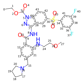 CCOC(=O)n1nc(NC(=O)c2ccc(CN3CCCC3)cc2NCCOC)c2cc(S(=O)(=O)c3cc(F)cc(F)c3)ccc21